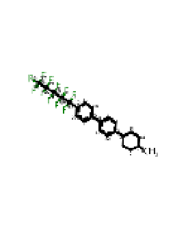 CC1CCC(c2ccc(-c3ccc(C(F)(F)C(F)(F)C(F)(F)C(F)(F)C(F)(F)F)cc3)cc2)CC1